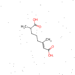 C/C(=C\C(=O)O)CCCC(C)C(=O)O